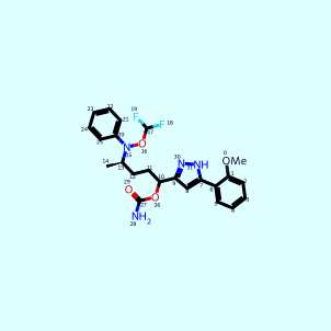 COc1ccccc1-c1cc(C(CC[C@@H](C)N(OC(F)F)c2ccccc2)OC(N)=O)n[nH]1